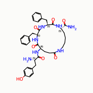 NC(=O)[C@@H]1CCCCNC(=O)CC[C@@H](NC(=O)[C@@H](N)Cc2ccc(O)cc2)C(=O)N[C@@H](Cc2ccccc2)C(=O)N[C@@H](Cc2ccccc2)C(=O)N1